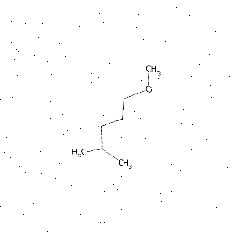 COCC[CH]C(C)C